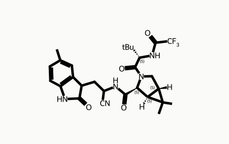 Cc1ccc2c(c1)C(CC(C#N)NC(=O)[C@@H]1[C@H]3[C@H](CN1C(=O)[C@@H](NC(=O)C(F)(F)F)C(C)(C)C)C3(C)C)C(=O)N2